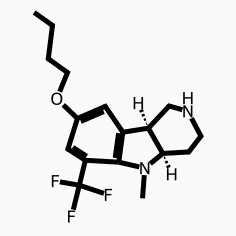 CCCCOc1cc2c(c(C(F)(F)F)c1)N(C)[C@@H]1CCNC[C@H]21